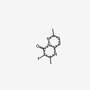 Cc1ccc2nc(C)c(F)c(=O)n2n1